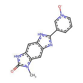 Cn1c(=O)[nH]c2cc3[nH]c(-c4ccc[n+]([O-])c4)nc3cc21